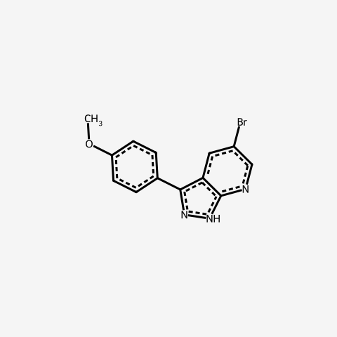 COc1ccc(-c2n[nH]c3ncc(Br)cc23)cc1